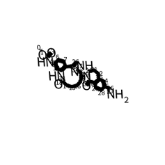 COC(=O)Nc1ccc2c(c1)NC(=O)CCCC[C@H](N1CCCc3cc(CN)ccc3C1=O)c1nc-2c[nH]1